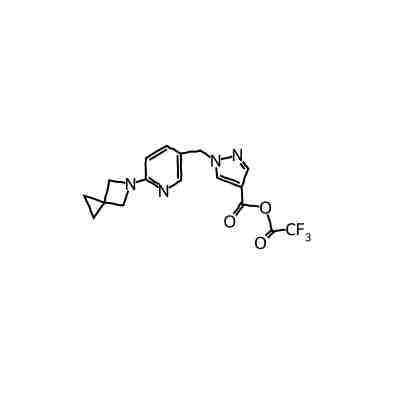 O=C(OC(=O)C(F)(F)F)c1cnn(Cc2ccc(N3CC4(CC4)C3)nc2)c1